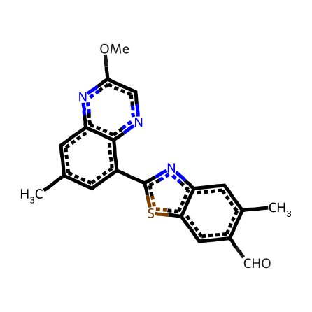 COc1cnc2c(-c3nc4cc(C)c(C=O)cc4s3)cc(C)cc2n1